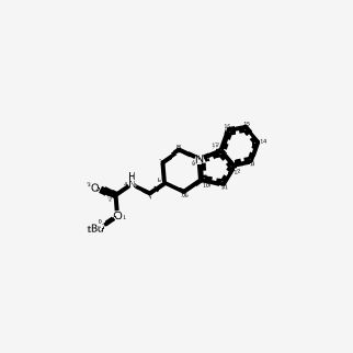 CC(C)(C)OC(=O)NCC1CCn2c(cc3ccccc32)C1